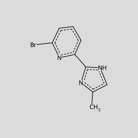 Cc1c[nH]c(-c2cccc(Br)n2)n1